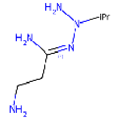 CC(C)N(N)/N=C(\N)CCN